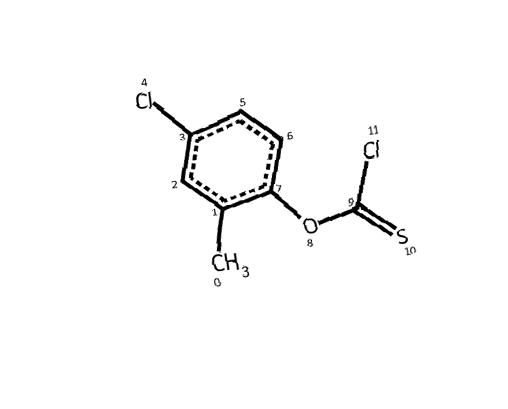 Cc1cc(Cl)ccc1OC(=S)Cl